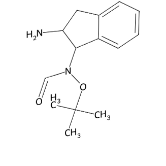 CC(C)(C)ON(C=O)C1c2ccccc2CC1N